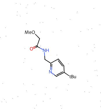 COCC(=O)NCc1ccc(C(C)(C)C)cn1